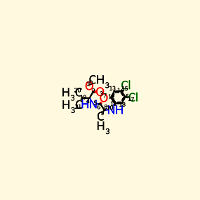 COC(=O)[C@@H](NC(=O)C(C)Nc1ccc(Cl)c(Cl)c1)C(C)C